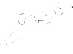 CC1=NN(c2ccc(C)c(C)c2)C(=O)C1=NNc1cccc(C2CCN(CC(F)(F)F)CC2)c1O